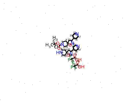 CC(C)(C)OC(=O)N1CCC2(CC1)CC(c1ccncc1)=NO2.O=C(O)C(F)(F)F.O=C(O)C(F)(F)F.c1cc(C2=NOC3(CCNCC3)C2)ccn1